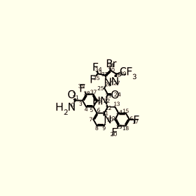 NC(=O)c1cc(-c2cccnc2[C@H](Cc2cc(F)cc(F)c2)NC(=O)Cn2nc(C(F)(F)F)c(Br)c2C(F)F)ccc1F